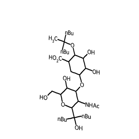 CCCCC(C)(CCCC)OC1C(C(=O)O)CC(OC2C(O)C(CO)OC(C(O)(CCCC)CCCC)C2NC(C)=O)C(O)C1O